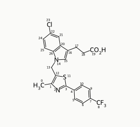 Cc1nc(-c2ccc(C(F)(F)F)cc2)sc1Cn1cc(CCC(=O)O)c2cc(Cl)ccc21